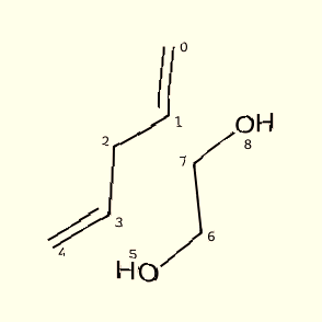 C=CCC=C.OCCO